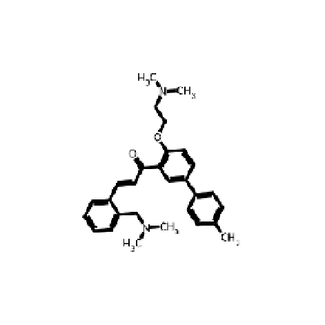 Cc1ccc(-c2ccc(OCCN(C)C)c(C(=O)C=Cc3ccccc3CN(C)C)c2)cc1